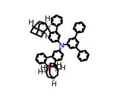 c1ccc(-c2cc(-c3ccccc3)cc(N(c3ccc4c(c3)-c3ccccc3[C@@H]3[C@H]5CC6C[C@@H](C[C@@H](C6)[C@@H]43)C5)c3ccc4c(c3)-c3ccccc3[C@]43[C@@H]4C[C@H]5CC6C[C@@H]3C65C4)c2)cc1